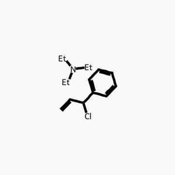 C=CC(Cl)c1ccccc1.CCN(CC)CC